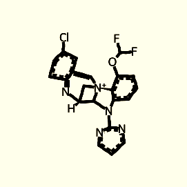 FC(F)Oc1cccc2c1[N@+]13C=c4cc(Cl)ccc4=N[C@H](C1)C3N2c1ncccn1